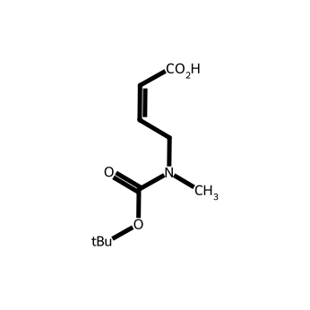 CN(C/C=C\C(=O)O)C(=O)OC(C)(C)C